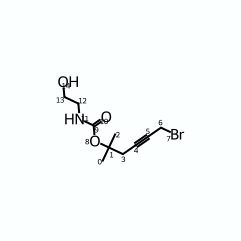 CC(C)(CC#CCBr)OC(=O)NCCO